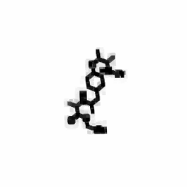 CC(C)NC(C)C(C)OC1CCC(CC(C)NC(C)C(=O)OCC(C)(C)C)CC1